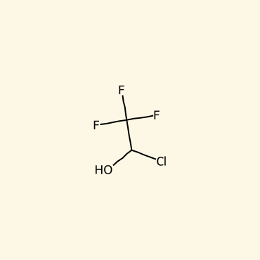 OC(Cl)C(F)(F)F